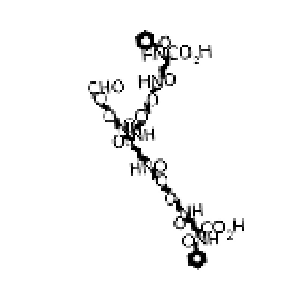 O=CCOCCOCCNC(=O)[C@H](CCCCNC(=O)COCCOCCNC(=O)CC[C@H](NC(=O)C1CCCCC1)C(=O)O)NC(=O)COCCOCCNC(=O)CC[C@H](NC(=O)C1CCCCC1)C(=O)O